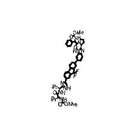 COC(=O)NC(C(=O)N1CCC[C@H]1c1nc2ccc(-c3ccc4c(c3)C(F)(F)c3cc(-c5c[nH]c([C@@H](NC(=O)[C@@H](NC(=O)OC)C(C)C)C(C)C)n5)ccc3-4)cc2[nH]1)c1ccccc1